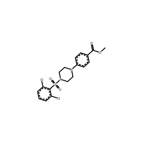 COC(=O)c1ccc(N2CCN(S(=O)(=O)c3c(Cl)cccc3Cl)CC2)cc1